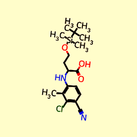 Cc1c(NC(CCO[Si](C)(C)C(C)(C)C)C(=O)O)ccc(C#N)c1Cl